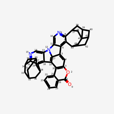 O=c1oc2cc3c4c5c(ncc4n4c6cnc7c(c6c(c2c2ccccc12)c34)C1CC2CC(CC7C2)C1)C1CC2CC3CC5CC23C1